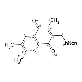 CCCCCCCCCCC1=C(C)C(=O)c2cc(C)c(C)cc2C1=O